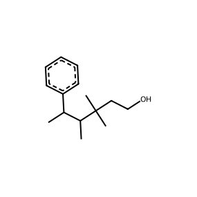 CC(c1ccccc1)C(C)C(C)(C)CCO